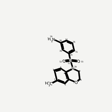 Cc1ccc2c(c1)OCCN2S(=O)(=O)c1cccc(N)c1